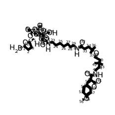 B[C@H]1CC[C@@H](COP(=O)(O)OP(=O)(O)OP(=O)(O)OP(=O)(O)NCCCCCCCNC(=O)CCC(C)(C)OCCC(C)(C)CCNC(=O)c2cc3ccc(OC)cc3oc2=O)O1